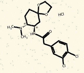 CN(C)[C@@H]1CCC2(C[C@H]1NC(=O)Cc1ccc(Cl)c(Cl)c1)OCCO2.Cl